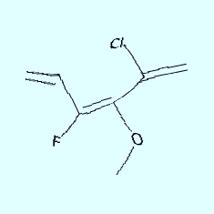 C=C/C(F)=C(/OC)C(=C)Cl